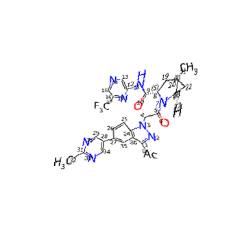 CC(=O)c1nn(CC(=O)N2[C@H](C(=O)Nc3cncc(C(F)(F)F)n3)C[C@@]3(C)C[C@@H]23)c2ccc(-c3cnc(C)nc3)cc12